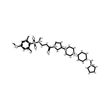 COc1cc(C)c(S(=O)(=O)N(C)CCC(=O)N2CCC(N3CCN([C@H]4CC[C@@H](CN5CCCC5)CC4)CC3)C2)c(C)c1